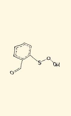 O=Cc1ccccc1SOO